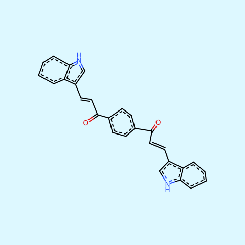 O=C(C=Cc1c[nH]c2ccccc12)c1ccc(C(=O)C=Cc2c[nH]c3ccccc23)cc1